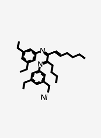 CCCCC=CC(=Nc1cc(CC)cc(CC)c1)C(CCCC)=Nc1cc(CC)cc(CC)c1.[Ni]